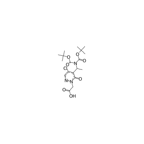 CC(c1c(Cl)cnn(CC(=O)O)c1=O)N(C(=O)OC(C)(C)C)C(=O)OC(C)(C)C